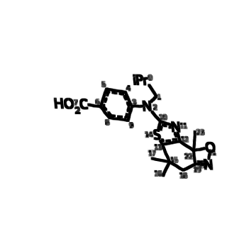 CC(C)CN(c1ccc(C(=O)O)cc1)c1nc2c(s1)C(C)(C)CC1=NOC12C